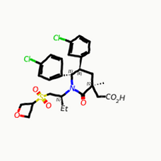 CC[C@@H](CS(=O)(=O)C1COC1)N1C(=O)[C@](C)(CC(=O)O)C[C@H](c2cccc(Cl)c2)[C@H]1c1ccc(Cl)cc1